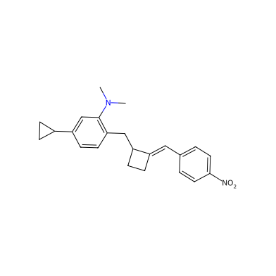 CN(C)c1cc(C2CC2)ccc1CC1CC/C1=C\c1ccc([N+](=O)[O-])cc1